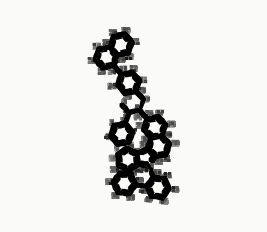 CC(c1ccccc1)[C@@H](Cc1ccc(-c2cccc3ccccc23)cc1)c1ccc2ccc3c(c2c1)c1ccccc1n3-c1ccccc1-c1ccccc1